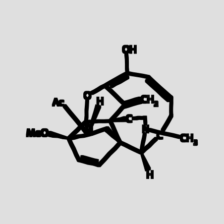 C=C1/C2=C(O)\C=C/CC[C@H]3N(C)CC[C@@]14[C@@H](O2)[C@@]1(OC)C=C[C@@]34C[C@H]1C(C)=O